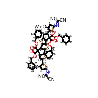 COc1cc(N=C(C#N)C#N)sc1C1=Cc2sc3c4c(sc3c2C1(C(=O)OCc1ccccc1)C(=O)OCc1ccccc1)-c1sc(-c2sc(N=C(C#N)C#N)cc2OC)cc1C4(C(=O)OCc1ccccc1)C(=O)OCc1ccccc1